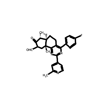 Cc1cc(-c2nc(-c3ccc(F)cc3)c3c(n2)[C@]2(C)CC(C=O)C(=O)[C@H](C)[C@H]2CC3)ccn1